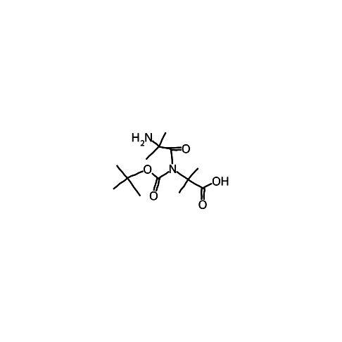 CC(C)(C)OC(=O)N(C(=O)C(C)(C)N)C(C)(C)C(=O)O